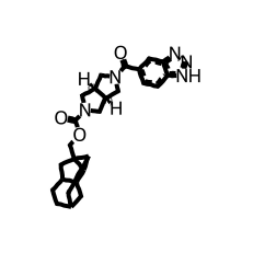 O=C(OCC12CC3CCC4CC3C1C2C4)N1C[C@@H]2CN(C(=O)c3ccc4[nH]nnc4c3)C[C@@H]2C1